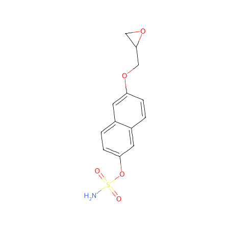 NS(=O)(=O)Oc1ccc2cc(OCC3CO3)ccc2c1